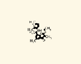 CCSc1oc2c([C@@H](C)Nc3ccc(C)nc3C)cc(C)cc2c(=O)c1C